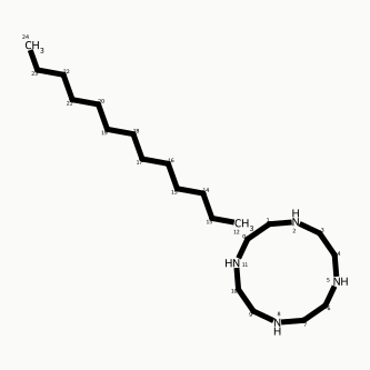 C1CNCCNCCNCCN1.CCCCCCCCCCCCC